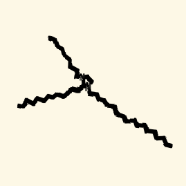 CCCCCCCCCCCCCCCCCCN1C=CN(CCCCCCCCC)C1CCCCCCCCCCCC